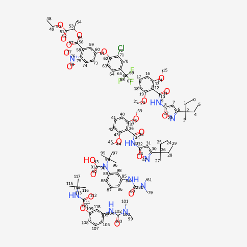 CCC(C)(CC)c1cc(NC(=O)c2c(OC)cccc2OC)on1.CCC(C)(CC)c1cc(NC(=O)c2c(OC)cccc2OC)on1.CCOC(=O)C(C)OC(=O)c1cc(Oc2ccc(C(F)(F)F)cc2Cl)ccc1[N+](=O)[O-].CN(C)C(=O)Nc1cccc(N(C(=O)O)C(C)(C)C)c1.CN(C)C(=O)Nc1cccc(OC(=O)NC(C)(C)C)c1